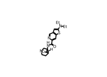 CCN(CC)c1cc2cnc(C(=O)N[C@H]3CN4CCC3CC4)cc2s1